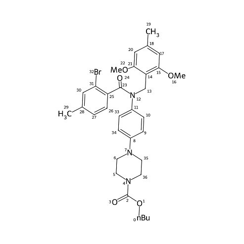 CCCCOC(=O)N1CCN(c2ccc(N(Cc3c(OC)cc(C)cc3OC)C(=O)c3ccc(C)cc3Br)cc2)CC1